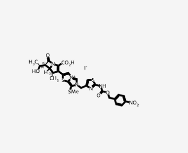 CSc1c2sc(C3=C(C(=O)O)N4C(=O)[C@H]([C@@H](C)O)[C@H]4[C@H]3C)c[n+]2cn1Cc1csc(NC(=O)OCc2ccc([N+](=O)[O-])cc2)n1.[I-]